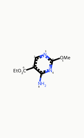 CCOC(=O)c1cnc(OC)nc1N